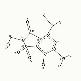 CC(C)c1cc(N(C)C)c(Cl)c2c1C(=O)N(CCl)S2(=O)=O